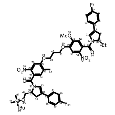 CC[C@@H]1CC(c2ccc(F)cc2)=CN1C(=O)c1cc(OC)c(OCCCOc2cc([N+](=O)[O-])c(C(=O)N3C=C(c4ccc(F)cc4)C[C@H]3CO[Si](C)(C)C(C)(C)C)cc2C)cc1[N+](=O)[O-]